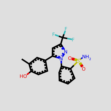 Cc1cc(-c2cc(C(F)(F)F)nn2-c2ccccc2S(N)(=O)=O)ccc1O